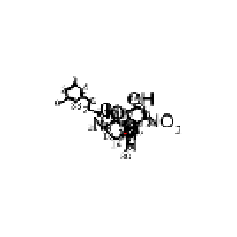 Cc1cccc(C=CC(=O)N(C)[C@@H]2CC[C@H]3[C@H]4Cc5c([N+](=O)[O-])cc(O)c6c5[C@@]3(CCN4C)[C@H]2O6)c1